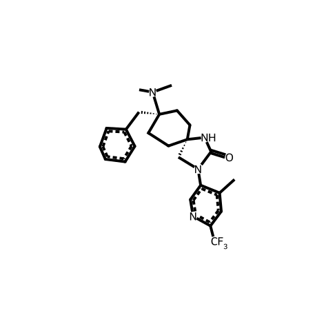 Cc1cc(C(F)(F)F)ncc1N1C[C@]2(CC[C@](Cc3ccccc3)(N(C)C)CC2)NC1=O